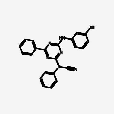 N#CN(c1ccccc1)c1nc(Nc2cccc(S)c2)nc(-c2ccccc2)n1